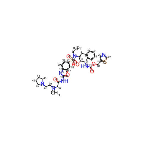 CC(C)CN(C(Cc1ccccc1)C(O)CNC(=O)OCc1cncs1)S(=O)(=O)c1ccc2nc(NC(=O)CN(C)CCN3CCCC3)oc2c1